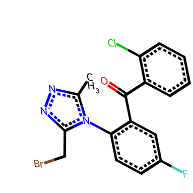 Cc1nnc(CBr)n1-c1ccc(F)cc1C(=O)c1ccccc1Cl